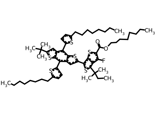 CCCCCCCCOC(=O)c1sc2c(-c3cc4c(-c5ccc(CCCCCCCC)s5)c5sc(C(C)(C)C)cc5c(-c5ccc(CCCCCCCC)s5)c4s3)sc(C(C)(C)CC)c2c1F